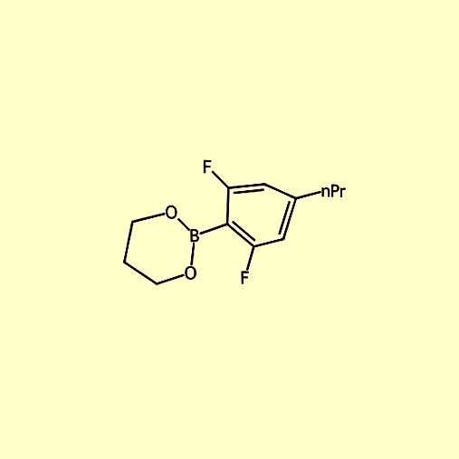 CCCc1cc(F)c(B2OCCCO2)c(F)c1